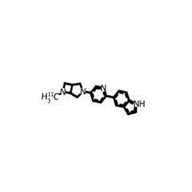 [11CH3]N1CC2CN(c3ccc(-c4ccc5[nH]ccc5c4)nc3)CC21